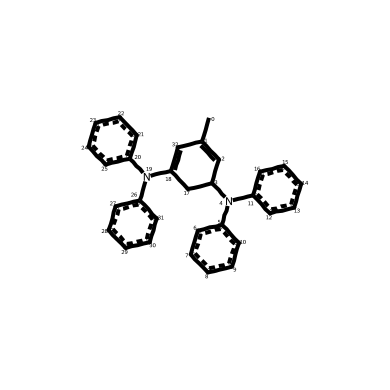 CC1=CC(N(c2ccccc2)c2ccccc2)CC(N(c2ccccc2)c2ccccc2)=C1